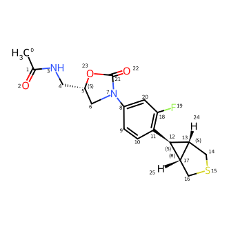 CC(=O)NC[C@H]1CN(c2ccc([C@H]3[C@@H]4CSC[C@@H]43)c(F)c2)C(=O)O1